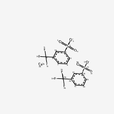 O=S(=O)([O-])c1cccc(C(F)(F)F)c1.O=S(=O)([O-])c1cccc(C(F)(F)F)c1.[Ca+2]